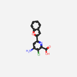 Nc1cc(-c2cc3ccccc3o2)nc(C(=O)O)c1Cl